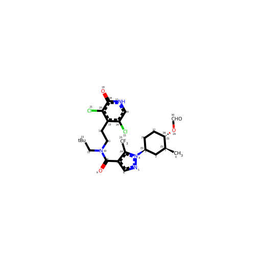 C[C@H]1C[C@@H](n2ncc(C(=O)N(CCc3c(Cl)c[nH]c(=O)c3Cl)CC(C)(C)C)c2C(F)(F)F)CC[C@@H]1OC=O